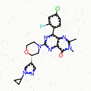 Cc1nc2c(-c3ccc(Cl)cc3F)nc(N3CCO[C@@H](c4cnn(C5CC5)c4)C3)nc2c(=O)n1C